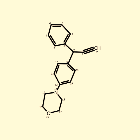 C#CC(c1ccccc1)c1ccc(N2CCOCC2)cc1